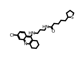 O=C(CCCCC1CCCS1)NCCCNc1c2c(nc3cc(Cl)ccc13)CCCC2